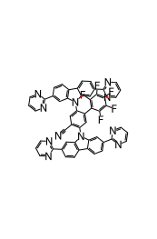 N#Cc1cc(-n2c3cc(-c4ncccn4)ccc3c3ccc(-c4ncccn4)cc32)c(-c2c(F)c(F)c(F)c(F)c2F)cc1-n1c2cc(-c3ncccn3)ccc2c2ccc(-c3ncccn3)cc21